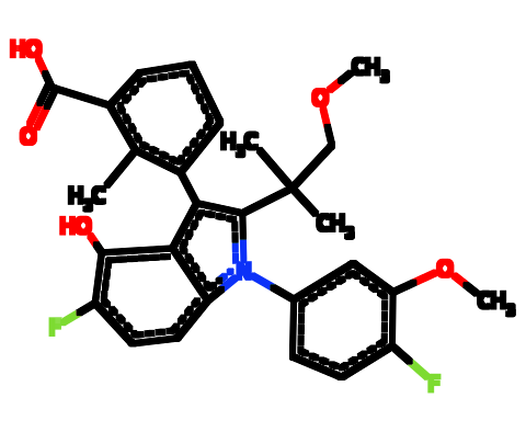 COCC(C)(C)c1c(-c2cccc(C(=O)O)c2C)c2c(O)c(F)ccc2n1-c1ccc(F)c(OC)c1